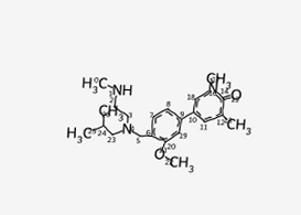 CNCCN(Cc1ccc(-c2cc(C)c(=O)n(C)c2)cc1OC)CC(C)C